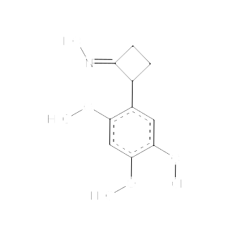 COc1cc(OC)c(C2CCC2=NO)cc1OC